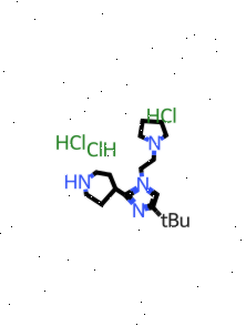 CC(C)(C)c1cn(CCN2CCCC2)c(C2CCNCC2)n1.Cl.Cl.Cl